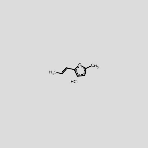 C/C=C/c1ccc(C)o1.Cl